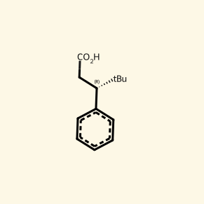 CC(C)(C)[C@@H](CC(=O)O)c1ccccc1